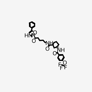 O=C(N[C@H]1CCCC(C(=O)NCCCCC(=O)N2NC=C(c3ccccc3)O2)C1)c1ccc(OC(F)(F)F)cc1